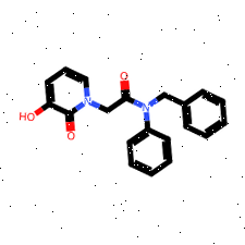 O=C(Cn1cccc(O)c1=O)N(Cc1ccccc1)c1ccccc1